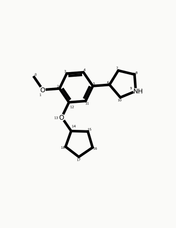 COc1ccc(C2C[C]NC2)cc1OC1CCCC1